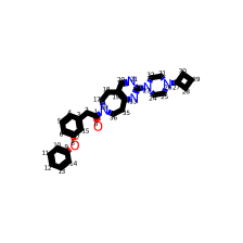 O=C(Cc1cccc(Oc2ccccc2)c1)N1CCc2cnc(N3CCN(C4CCC4)CC3)nc2CC1